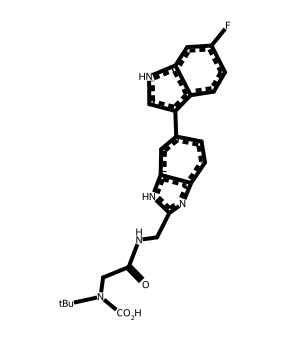 CC(C)(C)N(CC(=O)NCc1nc2ccc(-c3c[nH]c4cc(F)ccc34)cc2[nH]1)C(=O)O